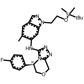 Cc1cc2cnn(CCO[Si](C)(C)C(C)(C)C)c2cc1Nc1nnc2n1[C@H](c1ccc(F)cc1)COC2